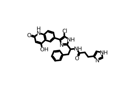 O=C(CCc1c[nH]cn1)NC(Cc1ccccc1)c1nc(-c2ccc3[nH]c(=O)cc(O)c3c2)c(Cl)[nH]1